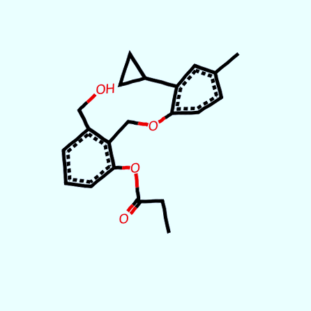 CCC(=O)Oc1cccc(CO)c1COc1ccc(C)cc1C1CC1